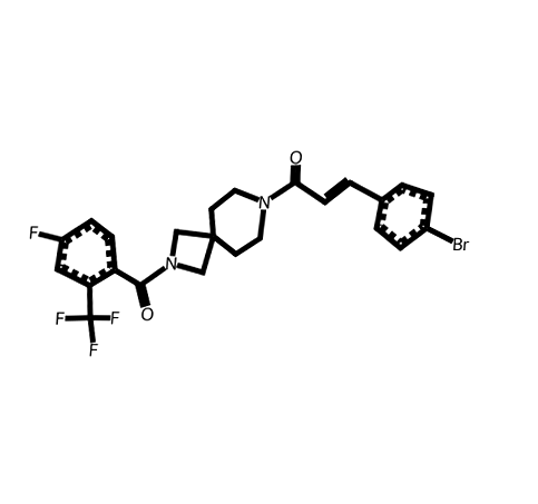 O=C(C=Cc1ccc(Br)cc1)N1CCC2(CC1)CN(C(=O)c1ccc(F)cc1C(F)(F)F)C2